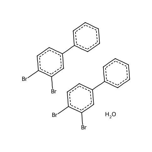 Brc1ccc(-c2ccccc2)cc1Br.Brc1ccc(-c2ccccc2)cc1Br.O